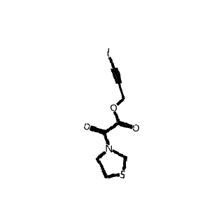 O=C(OCC#CI)C(=O)N1CCSC1